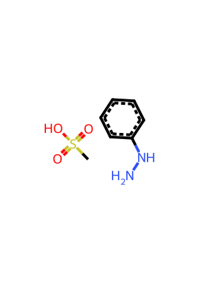 CS(=O)(=O)O.NNc1ccccc1